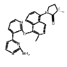 Cc1ccc2c(N3CC[C@H](C)C3=O)cccc2c1Oc1ncccc1-c1ccnc(N)n1